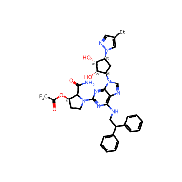 CCc1cnn([C@H]2C[C@@H](n3cnc4c(NCC(c5ccccc5)c5ccccc5)nc(N5CC[C@@H](OC(=O)C(F)(F)F)C5C(N)=O)nc43)[C@H](O)[C@@H]2O)c1